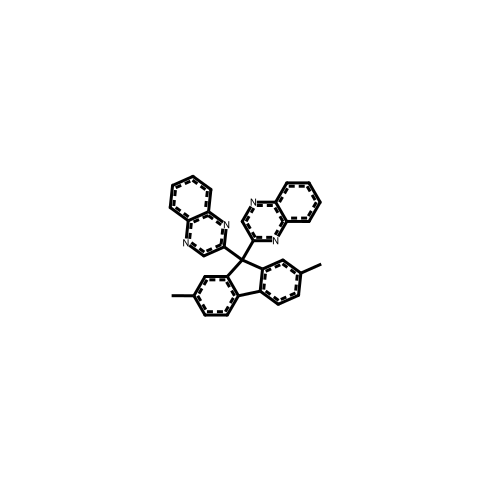 Cc1ccc2c(c1)C(c1cnc3ccccc3n1)(c1cnc3ccccc3n1)c1cc(C)ccc1-2